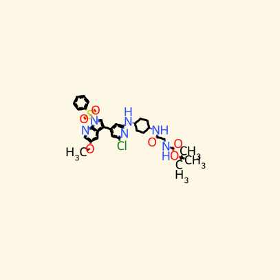 COc1cnc2c(c1)c(-c1cc(Cl)nc(N[C@H]3CC[C@H](NC(=O)CNC(=O)OC(C)(C)C)CC3)c1)cn2S(=O)(=O)c1ccccc1